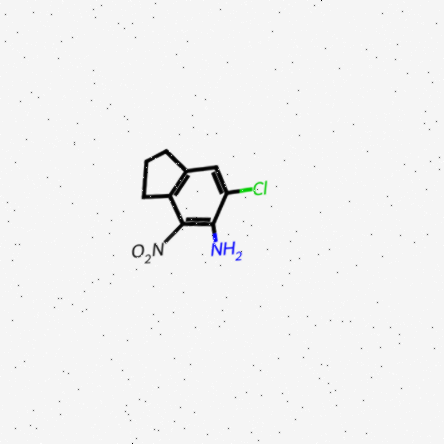 Nc1c(Cl)cc2c(c1[N+](=O)[O-])CCC2